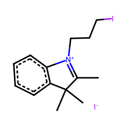 CC1=[N+](CCCI)c2ccccc2C1(C)C.[I-]